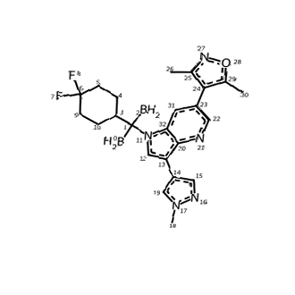 BC(B)(C1CCC(F)(F)CC1)n1cc(-c2cnn(C)c2)c2ncc(-c3c(C)noc3C)cc21